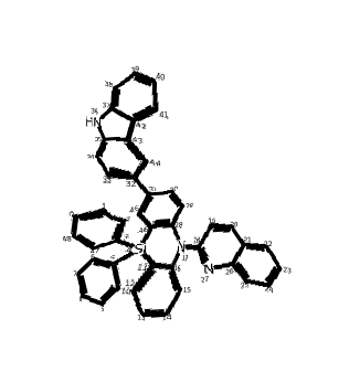 c1ccc([Si]2(c3ccccc3)c3ccccc3N(c3ccc4ccccc4n3)c3ccc(-c4ccc5[nH]c6ccccc6c5c4)cc32)cc1